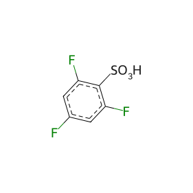 O=S(=O)(O)c1c(F)cc(F)cc1F